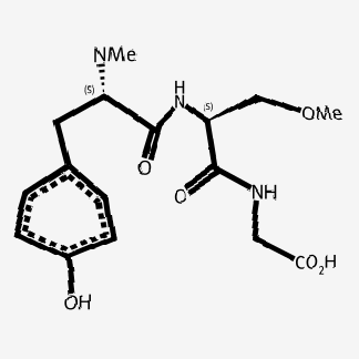 CN[C@@H](Cc1ccc(O)cc1)C(=O)N[C@@H](COC)C(=O)NCC(=O)O